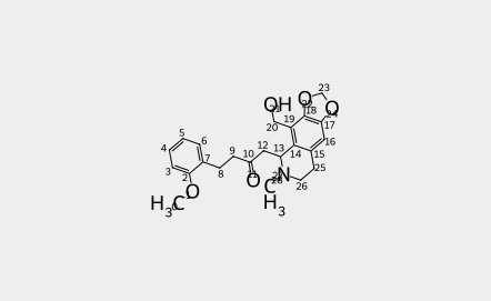 COc1ccccc1CCC(=O)CC1c2c(cc3c(c2CO)OCO3)CCN1C